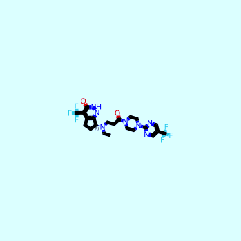 CCN(CCC(=O)N1CCN(c2ncc(C(F)(F)F)cn2)CC1)[C@@H]1CCc2c1n[nH]c(=O)c2C(F)(F)F